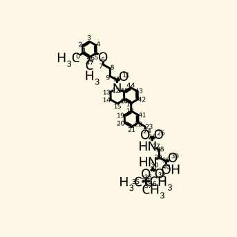 Cc1cccc(OCCCC(=O)N2CCCc3c(-c4cccc(COC(=O)NCC(NC(=O)OC(C)(C)C)C(=O)O)c4)cccc32)c1C